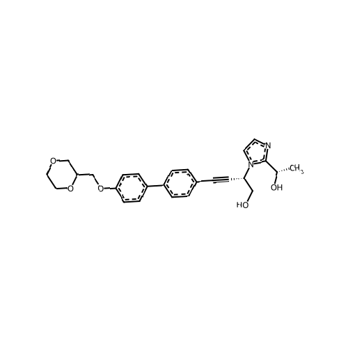 C[C@H](O)c1nccn1[C@@H](C#Cc1ccc(-c2ccc(OCC3COCCO3)cc2)cc1)CO